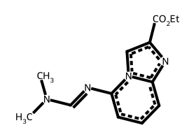 CCOC(=O)c1cn2c(/N=C/N(C)C)cccc2n1